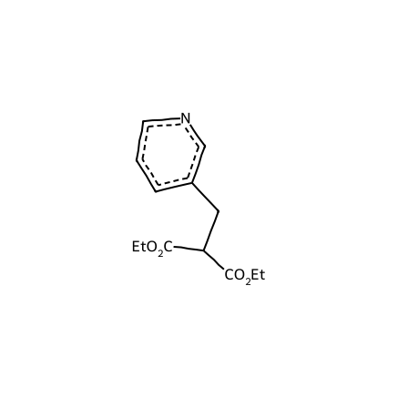 CCOC(=O)C(Cc1cccnc1)C(=O)OCC